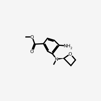 COC(=O)c1ccc(N)c(N(C)[C@@H]2CCO2)c1